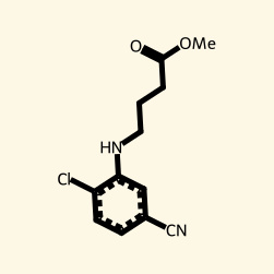 COC(=O)CCCNc1cc(C#N)ccc1Cl